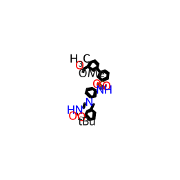 COC(=O)c1cc(-c2cccc(S(=O)(=O)Nc3cccc(N(CCNC(=O)OC(C)(C)C)Cc4ccccc4)c3)c2)ccc1C